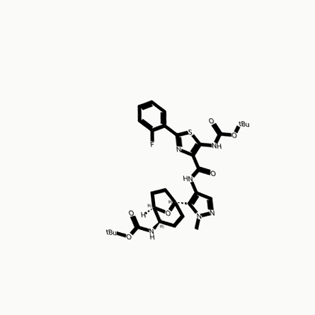 Cn1ncc(NC(=O)c2nc(-c3ccccc3F)sc2NC(=O)OC(C)(C)C)c1[C@@]12CC[C@@H](NC(=O)OC(C)(C)C)[C@@H](CC1)O2